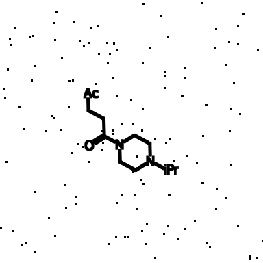 CC(=O)CCC(=O)N1CCN(C(C)C)CC1